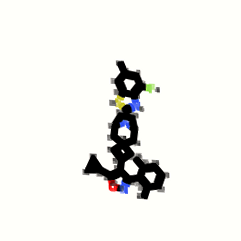 Cc1cc(F)c2nc(N3C4CCC3CC3(C=C(c5c(-c6c(C)cccc6C)noc5C5CC5)C3)C4)sc2c1